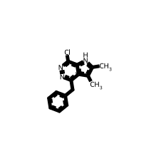 Cc1[nH]c2c(Cl)nnc(Cc3ccccc3)c2c1C